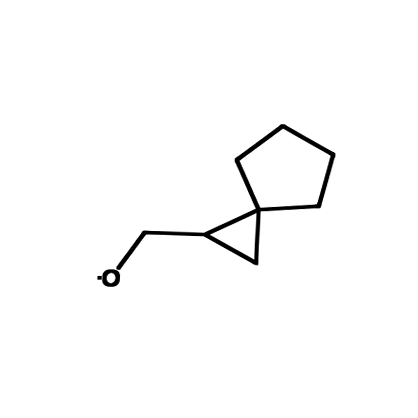 [O]CC1CC12CCCC2